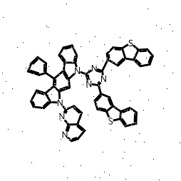 c1ccc(-c2c3c4ccccc4n(-c4ccc5cccnc5n4)c3cc3c2c2ccccc2n3-c2nc(-c3ccc4sc5ccccc5c4c3)nc(-c3ccc4sc5ccccc5c4c3)n2)cc1